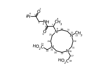 CC(C)C(=O)CNC(=O)C(C)N1CCN(C)CCN(CC(=O)O)CCN(CC(=O)O)CC1